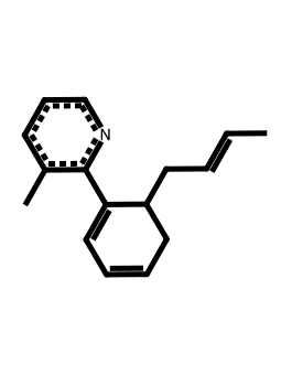 CC=CCC1CC=CC=C1c1ncccc1C